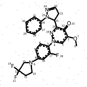 COc1cn(-c2ccc(N3CCC(F)(F)C3)cc2F)nc(C2CC=NN2c2ccccc2)c1=O